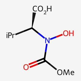 COC(=O)N(O)[C@H](C(=O)O)C(C)C